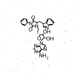 Nc1ncnc2c1ncn2[C@@H]1O[C@H](CCN2C(=O)N(c3ccccc3)C(=O)C2CC2C=Nc3ccccc32)C(O)[C@H]1O